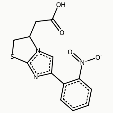 O=C(O)CC1CSc2nc(-c3ccccc3[N+](=O)[O-])cn21